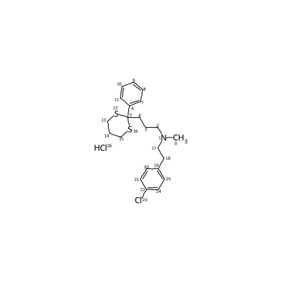 CN(CCCC1(c2ccccc2)SCCCS1)CCc1ccc(Cl)cc1.Cl